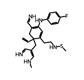 C=CC1(C/C(C=N)=C/NC)CC(C=N)=C(Nc2ccc(F)cc2)C=C1CCNSC